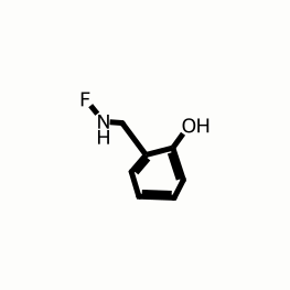 Oc1ccccc1CNF